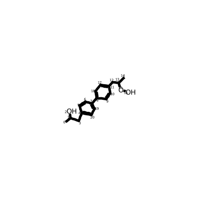 CC(O)Cc1ccc(-c2ccc(CC(C)OO)cc2)cc1